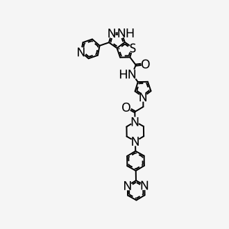 O=C(Nc1ccn(CC(=O)N2CCN(c3ccc(-c4ncccn4)cc3)CC2)c1)c1cc2c(-c3ccncc3)n[nH]c2s1